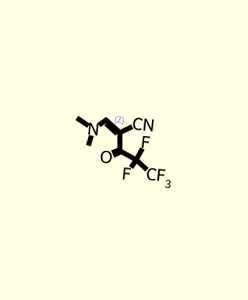 CN(C)/C=C(/C#N)C(=O)C(F)(F)C(F)(F)F